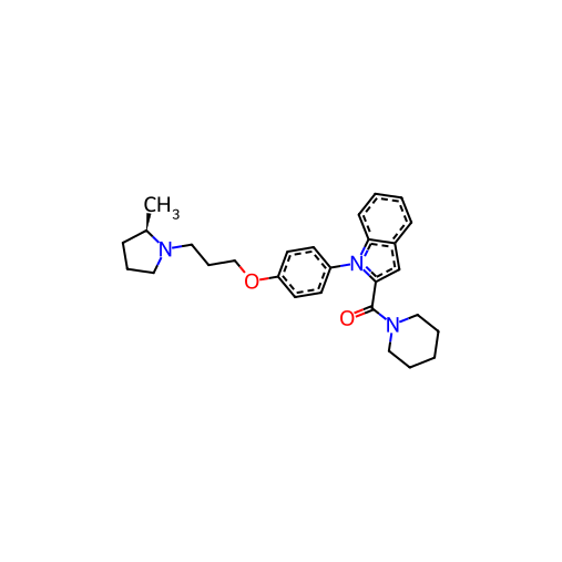 C[C@@H]1CCCN1CCCOc1ccc(-n2c(C(=O)N3CCCCC3)cc3ccccc32)cc1